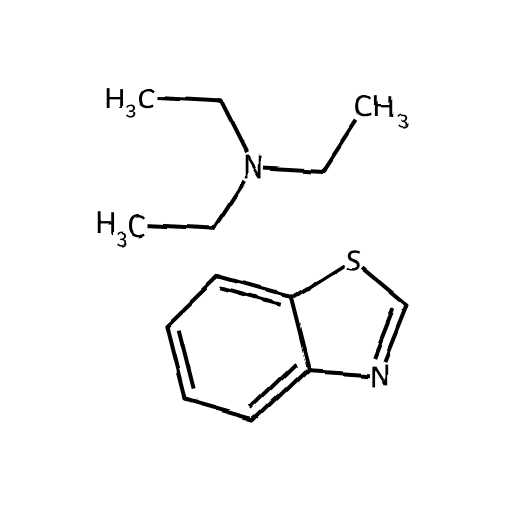 CCN(CC)CC.c1ccc2scnc2c1